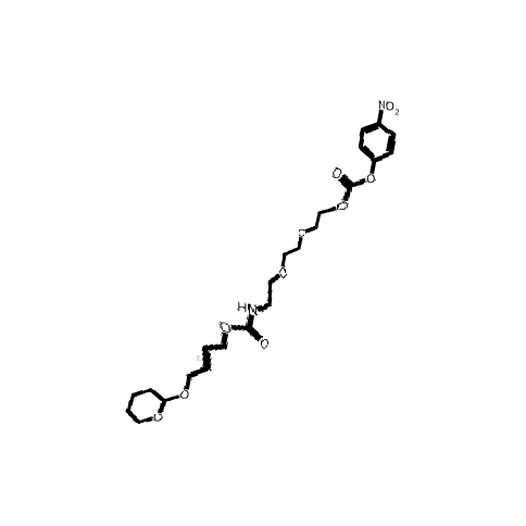 O=C(NCCOCCOCCOC(=O)Oc1ccc([N+](=O)[O-])cc1)OC/C=C/COC1CCCCO1